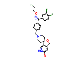 O=c1cc2c(c[nH]1)C1(CCN(Cc3ccc(/C(=N/OCCF)c4ccc(F)c(F)c4)cc3)CC1)OC2